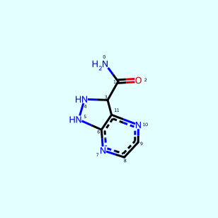 NC(=O)C1NNc2nccnc21